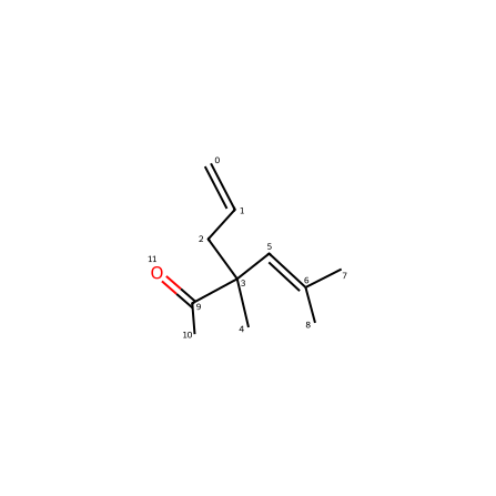 C=CCC(C)(C=C(C)C)C(C)=O